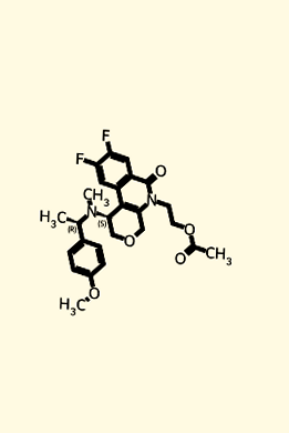 COc1ccc([C@@H](C)N(C)[C@@H]2COCc3c2c2cc(F)c(F)cc2c(=O)n3CCOC(C)=O)cc1